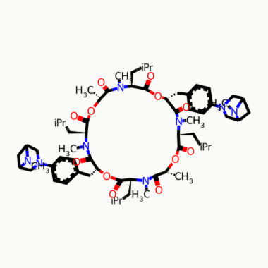 CC(C)C[C@H]1C(=O)O[C@H](Cc2ccc(N3CC4CC(C3)N4C)cc2)C(=O)N(C)[C@@H](CC(C)C)C(=O)O[C@H](C)C(=O)N(C)[C@@H](CC(C)C)C(=O)O[C@H](Cc2ccc(N3CC4CC(C3)N4C)cc2)C(=O)N(C)[C@@H](CC(C)C)C(=O)O[C@H](C)C(=O)N1C